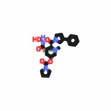 CN1C[C@@H](OC(=O)N2CCCC2)C[C@H](C(=O)NO)[C@H]1C(=O)N1CC=C(c2ccccc2)C1